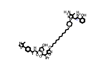 Cc1ncsc1-c1ccc([C@H](C)NC(=O)[C@@H]2C[C@@H](O)CN2C(=O)[C@H](c2cc(OCCCCCCCCCCCN3CCC(n4nc(N)c(C)c4/C=C(\N)c4ccccc4O)CC3)no2)C(C)C)cc1